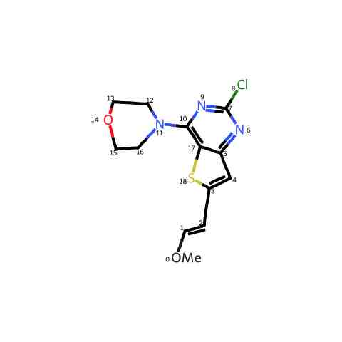 COC=Cc1cc2nc(Cl)nc(N3CCOCC3)c2s1